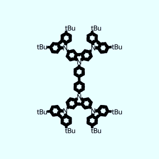 CC(C)(C)c1ccc2c(c1)c1cc(C(C)(C)C)ccc1n2-c1ccc2c(c1)c1cc(-n3c4ccc(C(C)(C)C)cc4c4cc(C(C)(C)C)ccc43)ccc1n2-c1ccc(-c2ccc(-n3c4ccc(-n5c6ccc(C(C)(C)C)cc6c6cc(C(C)(C)C)ccc65)cc4c4cc(-n5c6ccc(C(C)(C)C)cc6c6cc(C(C)(C)C)ccc65)ccc43)cc2)cc1